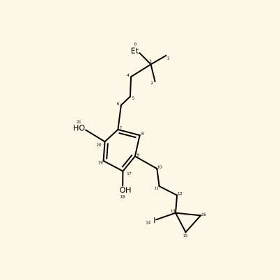 CCC(C)(C)CCCc1cc(CCCC2(I)CC2)c(O)cc1O